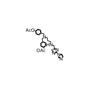 CC(=O)Oc1ccc(CN(CCCNCc2nc(-n3ccnc3)ns2)Cc2ccc(OC(C)=O)cc2)cc1